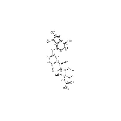 CN[C@@]1(OC(=O)C(F)(F)F)CCCC[C@H]1N(C)C(=O)c1cc(Cc2c[nH]c(=O)c3cc(Cl)c(Cl)n23)ccc1F